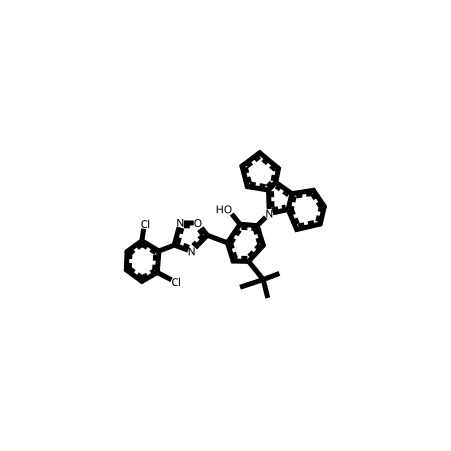 CC(C)(C)c1cc(-c2nc(-c3c(Cl)cccc3Cl)no2)c(O)c(-n2c3ccccc3c3ccccc32)c1